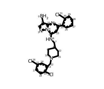 Bc1cnn2c(NCC3CCN(Cc4cc(Cl)ccc4Cl)CC3)cc(-c3ccccc3Cl)nc12